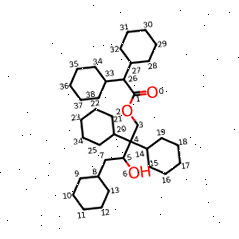 O=C(OCC(C(O)CC1CCCCC1)(C1CCCCC1)C1CCCCC1)C(C1CCCCC1)C1CCCCC1